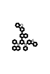 c1ccc(N(c2cc(-c3ccc(-c4ccc5oc6ccccc6c5c4)c4ccccc34)cc(N(c3ccccc3)c3cccc4ccccc34)c2)c2ccc3sc4ccccc4c3c2)cc1